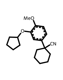 COc1ccc(C2(C#N)CCCCC2)cc1OC1CCCC1